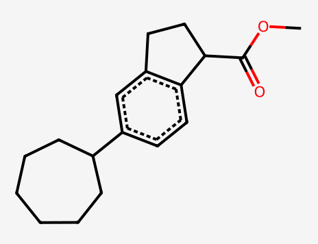 COC(=O)C1CCc2cc(C3CCCCCC3)ccc21